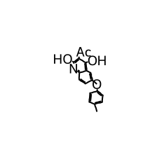 CC(=O)c1c(O)nc2ccc(Oc3ccc(C)cc3)cc2c1O